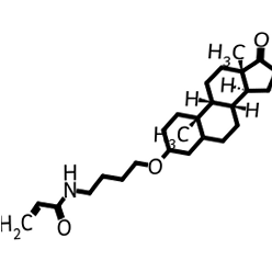 C=CC(=O)NCCCCOC1CC[C@@]2(C)C(CC[C@@H]3[C@H]2CC[C@]2(C)C(=O)CC[C@@H]32)C1